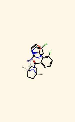 O=C(c1cccc(F)c1-c1ncco1)N1[C@@H]2CC[C@H]1[C@H](Nc1ncc(Br)cn1)C2